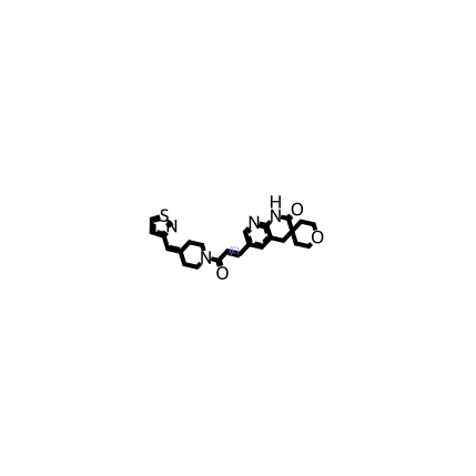 O=C(/C=C/c1cnc2c(c1)CC1(CCOCC1)C(=O)N2)N1CCC(=Cc2ccsn2)CC1